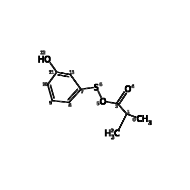 CC(C)C(=O)OSc1cccc(O)c1